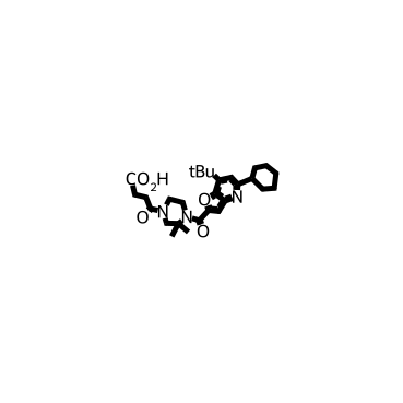 CC(C)(C)c1cc(C2CCCCC2)nc2cc(C(=O)N3CCN(C(=O)CCC(=O)O)CC3(C)C)oc12